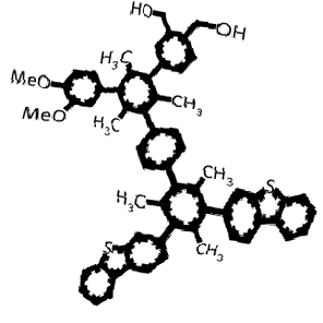 COc1ccc(-c2c(C)c(-c3ccc(-c4c(C)c(-c5ccc6c(c5)sc5ccccc56)c(C)c(-c5ccc6c(c5)sc5ccccc56)c4C)cc3)c(C)c(-c3ccc(CO)c(CO)c3)c2C)cc1OC